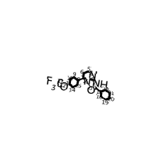 O=C(Nc1nccc(-c2ccc(OC(F)(F)F)cc2)n1)c1ccccc1